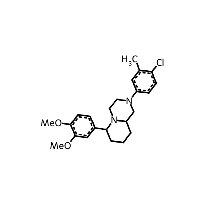 COc1ccc(C2CCCC3CN(c4ccc(Cl)c(C)c4)CCN32)cc1OC